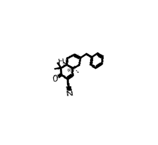 CC1(C)C(=O)C(C#N)=C[C@]2(C)CC(Cc3ccccc3)=CC[C@H]12